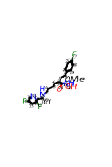 CO[C@H](C[C@H](CCCCN[C@@H](c1ncc(F)cc1F)C(C)C)C(=O)NO)c1ccc(F)cc1